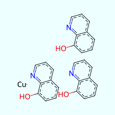 Oc1cccc2cccnc12.Oc1cccc2cccnc12.Oc1cccc2cccnc12.[Cu]